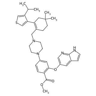 COC(=O)c1ccc(N2CCN(CC3=C(c4cscc4C(C)C)CC(C)(C)CC3)CC2)cc1Oc1cnc2[nH]ccc2c1